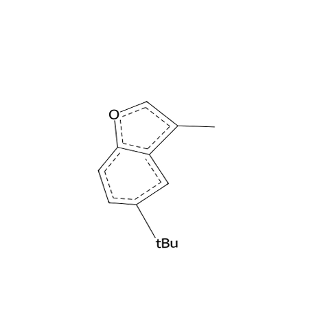 Cc1coc2ccc(C(C)(C)C)cc12